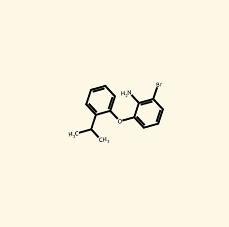 CC(C)c1ccccc1Oc1cccc(Br)c1N